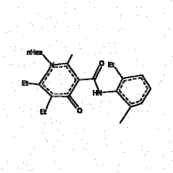 CCCCCCn1c(C)c(C(=O)Nc2c(C)cccc2CC)c(=O)c(CC)c1CC